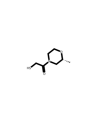 C[C@@H]1CN(C(=O)CS)CCO1